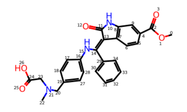 COC(=O)c1ccc2c(c1)NC(=O)/C2=C(\Nc1ccc(CN(C)CC(=O)O)cc1)c1ccccc1